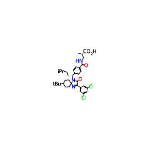 CC(C)CC[C@H](c1ccc(C(=O)NC[C@H](C)C(=O)O)cc1)N1C(=O)C(c2cc(Cl)cc(Cl)c2)=NC12CCC(C(C)(C)C)CC2